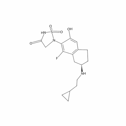 O=C1CN(c2c(O)cc3c(c2F)C[C@H](NCCC2CC2)CC3)S(=O)(=O)N1